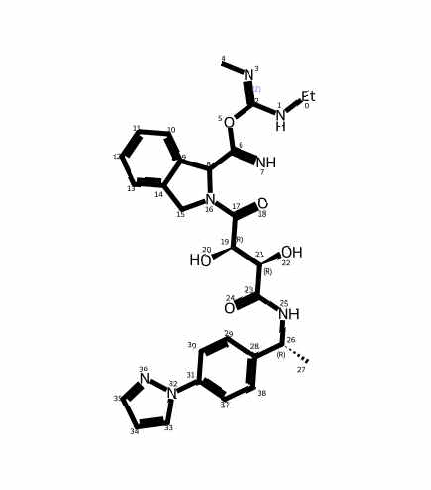 CCN/C(=N/C)OC(=N)C1c2ccccc2CN1C(=O)[C@H](O)[C@@H](O)C(=O)N[C@H](C)c1ccc(-n2cccn2)cc1